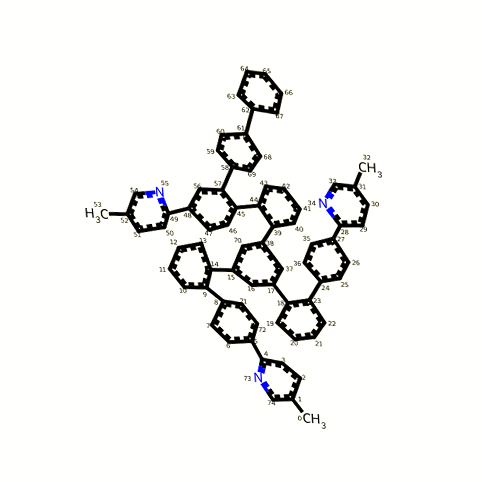 Cc1ccc(-c2ccc(-c3ccccc3-c3cc(-c4ccccc4-c4ccc(-c5ccc(C)cn5)cc4)cc(-c4ccccc4-c4ccc(-c5ccc(C)cn5)cc4-c4ccc(-c5ccccc5)cc4)c3)cc2)nc1